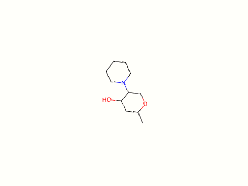 CC1CC(O)C(N2CCCCC2)CO1